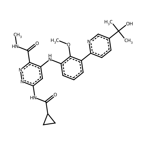 CNC(=O)c1nnc(NC(=O)C2CC2)cc1Nc1cccc(-c2ccc(C(C)(C)O)cn2)c1OC